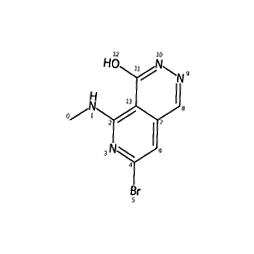 CNc1nc(Br)cc2cnnc(O)c12